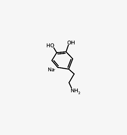 NCCc1ccc(O)c(O)c1.[Na]